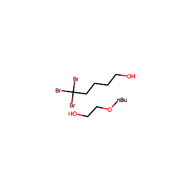 CCCCOCCO.OCCCCC(Br)(Br)Br